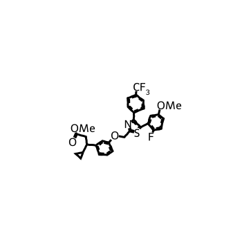 COC(=O)CC(c1cccc(OCc2nc(-c3ccc(C(F)(F)F)cc3)c(-c3cc(OC)ccc3F)s2)c1)C1CC1